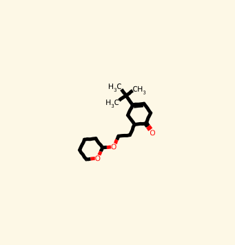 CC(C)(C)C1=CCC(=O)C(CCOC2CCCCO2)C1